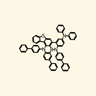 c1ccc(-c2ccc(N3B4c5cc(-c6ccccc6)ccc5N(c5ccc(-c6ccccc6)cc5)c5c4c(cc4sc6ccccc6c54)-c4cc(N(c5ccccc5)c5ccccc5)ccc43)cc2)cc1